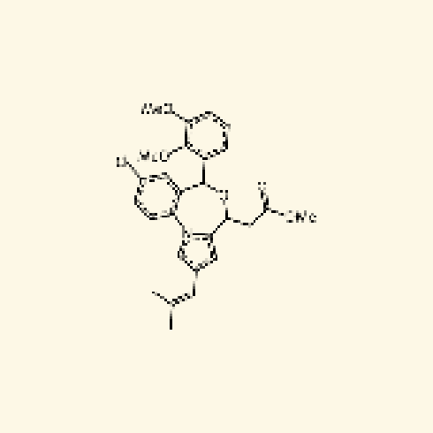 COC(=O)CC1OC(c2cccc(OC)c2OC)c2cc(Cl)ccc2-n2cc(C=C(C)C)cc21